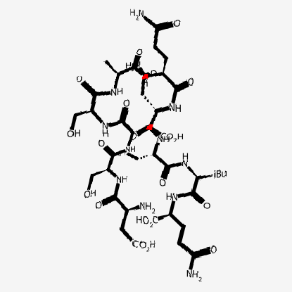 CC[C@H](C)[C@H](NC(=O)[C@H](CC(C)C)NC(=O)[C@H](CC(N)=O)NC(=O)[C@H](CCC(N)=O)NC(=O)[C@H](C)NC(=O)[C@H](CO)NC(=O)[C@H](CC(=O)O)NC(=O)[C@H](CO)NC(=O)[C@@H](N)CC(=O)O)C(=O)N[C@@H](CCC(N)=O)C(=O)O